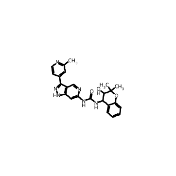 Cc1cc(-c2n[nH]c3cc(NC(=O)NC4c5ccccc5OC(C)(C)C4O)ncc23)ccn1